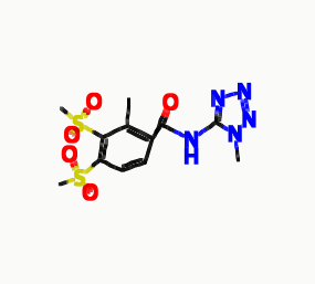 Cc1c(C(=O)Nc2nnnn2C)ccc(S(C)(=O)=O)c1S(C)(=O)=O